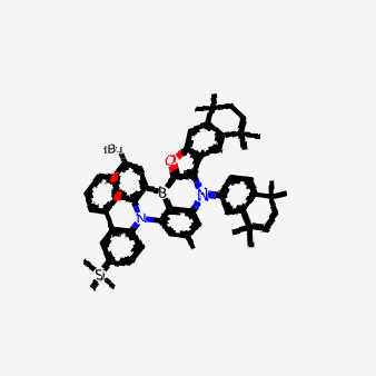 Cc1cc2c3c(c1)N(c1ccc4c(c1)C(C)(C)CCC4(C)C)c1c(oc4cc5c(cc14)C(C)(C)CCC5(C)C)B3c1cc(C(C)(C)C)ccc1N2c1ccc([Si](C)(C)C)cc1-c1ccccc1